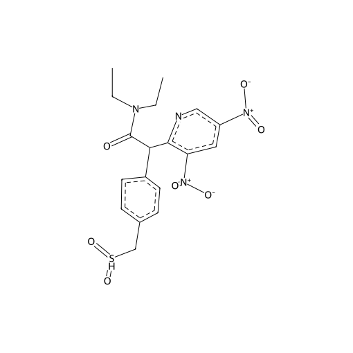 CCN(CC)C(=O)C(c1ccc(C[SH](=O)=O)cc1)c1ncc([N+](=O)[O-])cc1[N+](=O)[O-]